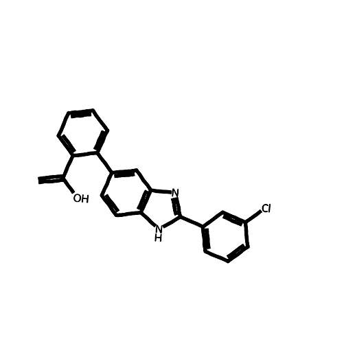 C=C(O)c1ccccc1-c1ccc2[nH]c(-c3cccc(Cl)c3)nc2c1